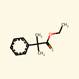 CCOC(=S)C(C)(C)c1ccccc1